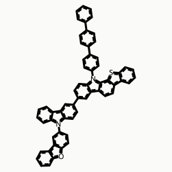 c1ccc(-c2ccc(-c3ccc(-n4c5ccc(-c6ccc7c(c6)c6ccccc6n7-c6ccc7oc8ccccc8c7c6)cc5c5ccc6c7ccccc7sc6c54)cc3)cc2)cc1